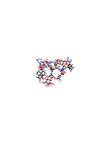 CC(C)C[C@H](C(=O)N[C@H]1C(=O)C[C@@H](CC(N)=O)C(=O)N[C@H]2C(=O)C[C@@H]3C(=O)N[C@H](C(=O)N[C@H](C(=O)CC4C5CC6CC(C5)CC4C6)c4cc(OC(=O)N[C@@H](C)c5ccccc5)cc(O)c4-c4cc3ccc4O)[C@H](O)c3ccc(c(Cl)c3)Oc3cc2cc(c3OC2O[C@H](COC(=O)N[C@@H](C)c3ccccc3)[C@@H](O)[C@H](O)[C@H]2O)Oc2ccc(cc2Cl)[C@H]1O)N(C)C(=O)OC(C)(C)C